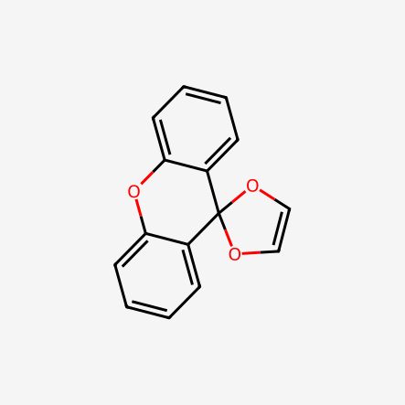 C1=COC2(O1)c1ccccc1Oc1ccccc12